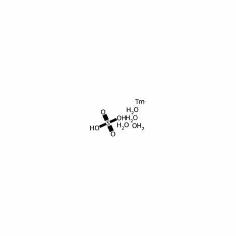 O.O.O.O.O=S(=O)(O)O.[Tm]